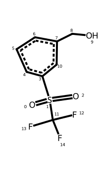 O=S(=O)(c1cccc(CO)c1)C(F)(F)F